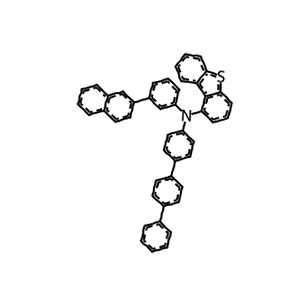 c1ccc(-c2ccc(-c3ccc(N(c4cccc(-c5ccc6ccccc6c5)c4)c4cccc5sc6ccccc6c45)cc3)cc2)cc1